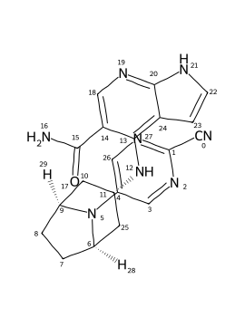 N#Cc1ncc(N2[C@@H]3CC[C@H]2C[C@H](Nc2c(C(N)=O)cnc4[nH]ccc24)C3)cn1